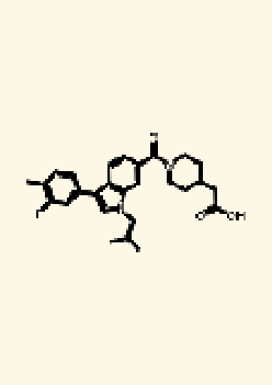 Cc1ccc(-c2cn(CC(C)C)c3cc(C(=O)N4CCC(CC(=O)O)CC4)ccc23)cc1F